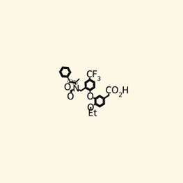 CCOc1ccc(CC(=O)O)cc1Oc1ccc(C(F)(F)F)cc1CN1C(=O)O[C@@H](c2ccccc2)[C@H]1C